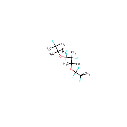 C=C(F)C(F)(F)OC(C)(C)C(F)(C(F)(F)F)C(F)(F)OC(C)(C)C(C)(F)C(F)(F)F